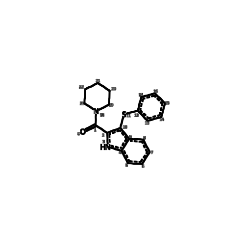 O=C(c1[nH]c2ccccc2c1Sc1ccccc1)N1CCCCC1